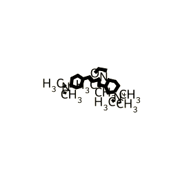 CN(C)C1CCC(/C=C/C23OCCN2C2CCC([N+](C)(C)C)CC2C3(C)C)CC1